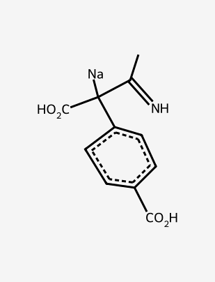 CC(=N)[C]([Na])(C(=O)O)c1ccc(C(=O)O)cc1